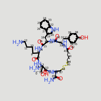 C[C@@H](O)[C@]1(N)NC(=O)C(CCCCN)NC(=O)[C@@H](Cc2c[nH]c3ccccc23)NC(=O)[C@H](Cc2ccc(O)cc2)NC(=O)CCSSC[C@@H](C(N)=O)NC1=O